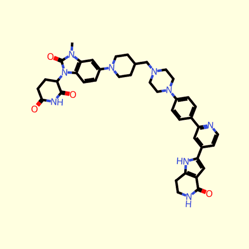 Cn1c(=O)n(C2CCC(=O)NC2=O)c2ccc(N3CCC(CN4CCN(c5ccc(-c6cc(-c7cc8c([nH]7)CCNC8=O)ccn6)cc5)CC4)CC3)cc21